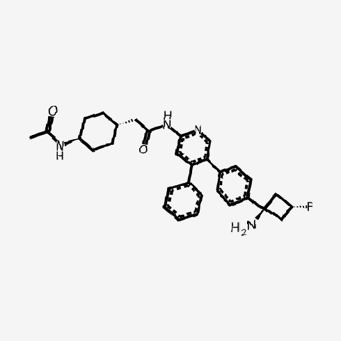 CC(=O)N[C@H]1CC[C@H](CC(=O)Nc2cc(-c3ccccc3)c(-c3ccc([C@]4(N)C[C@H](F)C4)cc3)cn2)CC1